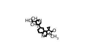 CN1C(=O)C2(CC2)c2c1cnc1ccc(-c3cncc(C(C)(C)O)c3)cc21